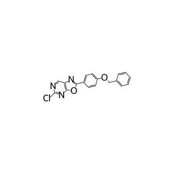 Clc1ncc2nc(-c3ccc(OCc4ccccc4)cc3)oc2n1